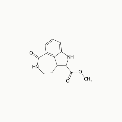 COC(=O)c1[nH]c2cccc3c2c1CCNC3=O